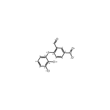 O=Cc1cc([N+](=O)[O-])ccc1Sc1cccc(Cl)c1Cl